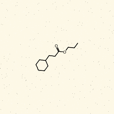 CCCOC(=O)CCC1CCCCC1